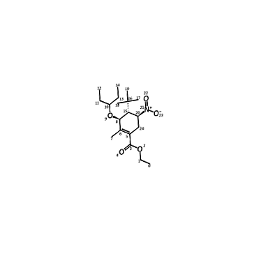 CCOC(=O)C1=C(C)[C@@H](OC(CC)CC)[C@H](C(C)(C)C)[C@@H]([N+](=O)[O-])C1